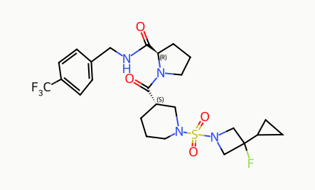 O=C(NCc1ccc(C(F)(F)F)cc1)[C@H]1CCCN1C(=O)[C@H]1CCCN(S(=O)(=O)N2CC(F)(C3CC3)C2)C1